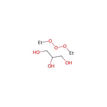 CCOOOCC.OCC(O)CO